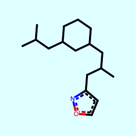 CC(C)CC1CCCC(CC(C)Cc2ccon2)C1